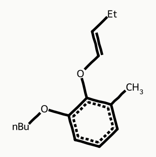 CCC=COc1c(C)cccc1OCCCC